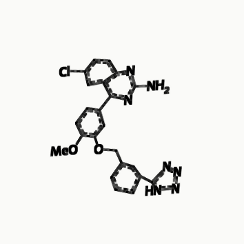 COc1ccc(-c2nc(N)nc3ccc(Cl)cc23)cc1OCc1cccc(-c2nnn[nH]2)c1